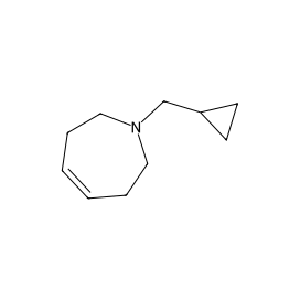 C1=CCCN(CC2CC2)CC1